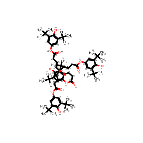 CC(C)(C)c1cc(OC(=O)CCCC(CCCC(=O)Oc2cc(C(C)(C)C)c(O)c(C(C)(C)C)c2)(CCCC(=O)Oc2cc(C(C)(C)C)c(O)c(C(C)(C)C)c2)CCCC(=O)Oc2cc(C(C)(C)C)c(O)c(C(C)(C)C)c2)cc(C(C)(C)C)c1O